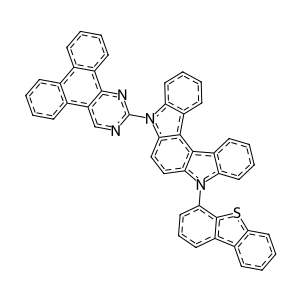 c1ccc2c(c1)sc1c(-n3c4ccccc4c4c5c6ccccc6n(-c6ncc7c8ccccc8c8ccccc8c7n6)c5ccc43)cccc12